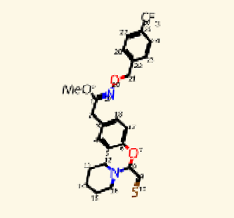 COC(Cc1ccc(OC(C=S)N2CCCCC2)cc1)=NOCc1ccc(C(F)(F)F)cc1